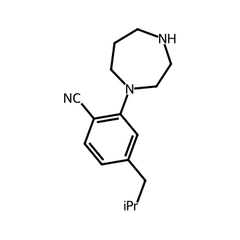 CC(C)Cc1ccc(C#N)c(N2CCCNCC2)c1